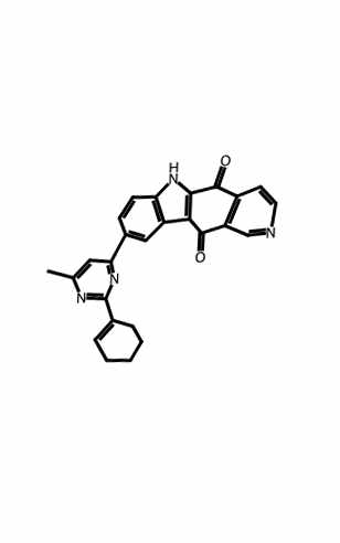 Cc1cc(-c2ccc3[nH]c4c(c3c2)C(=O)c2cnccc2C4=O)nc(C2=CCCCC2)n1